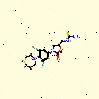 NC(=S)NCC1CN(c2cc(F)c(N3CCCSCC3)c(F)c2)C(=O)O1